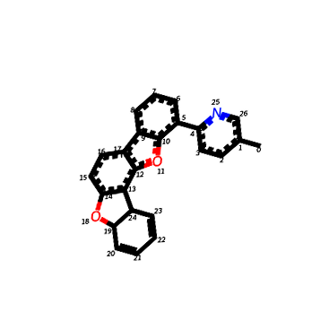 Cc1ccc(-c2cccc3c2oc2c4c(ccc23)OC2C=CC=CC42)nc1